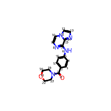 O=C(c1ccc(Nc2n[c]cn3ccnc23)cc1)N1CCOCC1